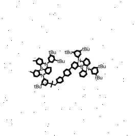 Cc1ccc2c(c1)B1c3cc(C)ccc3N(c3cc(C(C)(C)C)cc(C(C)(C)Cc4ccc(-c5ccc(-c6ccc7c(c6)B6c8ccccc8N(c8cc(C(C)(C)C)cc(C(C)(C)C)c8)c8cccc(c86)N7c6cc(C(C)(C)C)cc(C(C)(C)C)c6)cc5)cc4)c3)c3cccc(c31)N2c1cc(C(C)(C)C)cc(C(C)(C)C)c1